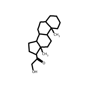 CC12CCCCC1CCC1C2CCC2(C)C(C(=O)CO)CCC12